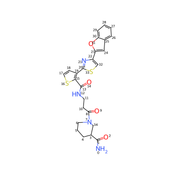 NC(=O)C1CCCN(C(=O)CCNC(=O)c2sccc2-c2nc(-c3cc4ccccc4o3)cs2)C1